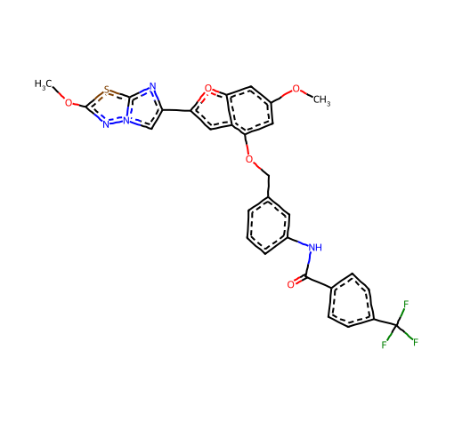 COc1cc(OCc2cccc(NC(=O)c3ccc(C(F)(F)F)cc3)c2)c2cc(-c3cn4nc(OC)sc4n3)oc2c1